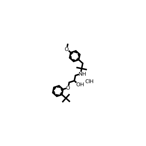 COc1ccc(CC(C)(C)NCC(O)COc2ccccc2C(C)(C)C)cc1.Cl